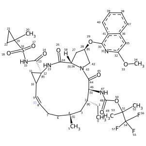 CC[C@@H]1C[C@@H](C)CC/C=C\C2C[C@@]2(C(=O)NS(=O)(=O)C2(C)CC2)NC(=O)[C@@H]2C[C@@H](Oc3nc(OC)cc4ccccc34)CN2C(=O)[C@H]1NC(=O)OC(C)(C)C(F)(F)F